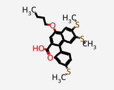 CCCCOc1cc(C(=O)O)c(-c2ccc(SC)cc2)c2cc(SC)c(SC)cc12